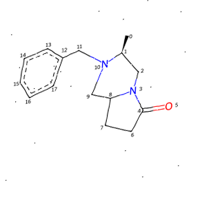 C[C@H]1CN2C(=O)CCC2CN1Cc1ccccc1